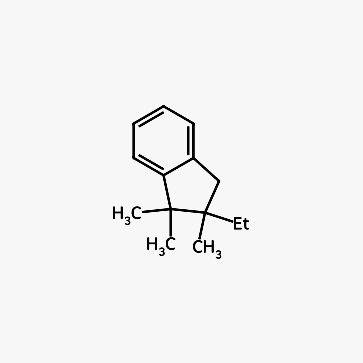 CCC1(C)Cc2ccccc2C1(C)C